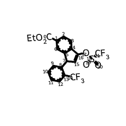 CCOC(=O)c1ccc2c(c1)C(c1ccccc1C(F)(F)F)C=C2OS(=O)(=O)C(F)(F)F